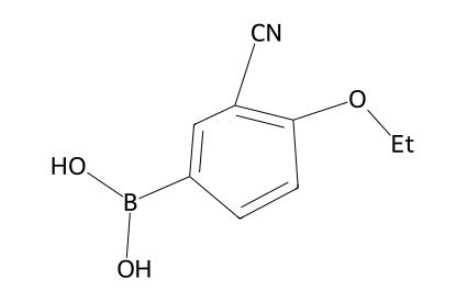 CCOc1ccc(B(O)O)cc1C#N